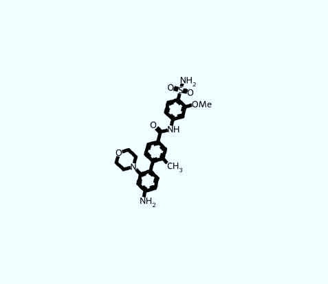 COc1cc(NC(=O)c2ccc(-c3ccc(N)cc3N3CCOCC3)c(C)c2)ccc1S(N)(=O)=O